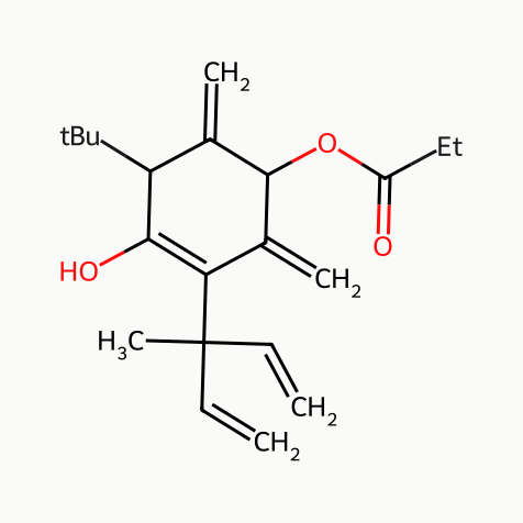 C=CC(C)(C=C)C1=C(O)C(C(C)(C)C)C(=C)C(OC(=O)CC)C1=C